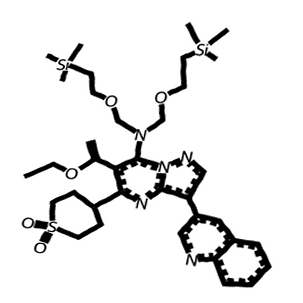 C=C(OCC)c1c(C2CCS(=O)(=O)CC2)nc2c(-c3cnc4ccccc4c3)cnn2c1N(COCC[Si](C)(C)C)COCC[Si](C)(C)C